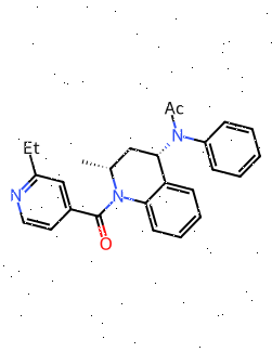 CCc1cc(C(=O)N2c3ccccc3[C@@H](N(C(C)=O)c3ccccc3)C[C@H]2C)ccn1